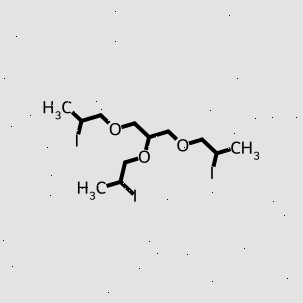 CC(I)COCC(COCC(C)I)OCC(C)I